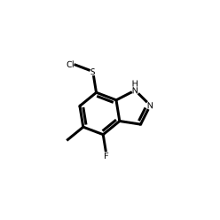 Cc1cc(SCl)c2[nH]ncc2c1F